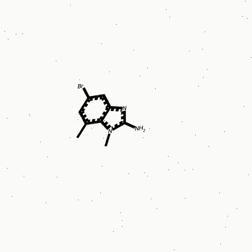 Cc1cc(Br)cc2nc(N)n(C)c12